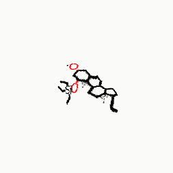 CC=C1CCC2C3=CC=C4CC([O])CC(O[Si](CC)(CC)CC)[C@]4(C)C3CC[C@]12C